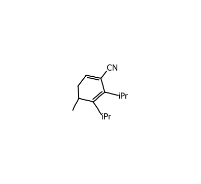 CC(C)C1=C(C(C)C)C(C)CC=C1C#N